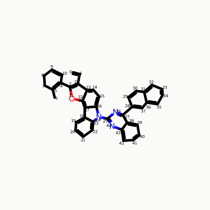 C=Cc1c(C2=C(C)CCC=C2)oc2c1ccc1c2c2ccccc2n1-c1nc(-c2ccc3ccccc3c2)c2ccccc2n1